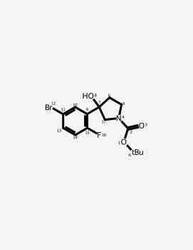 CC(C)(C)OC(=O)N1CCC(O)(c2cc(Br)ccc2F)C1